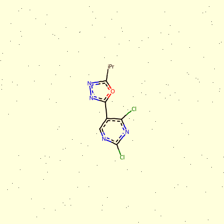 CC(C)c1nnc(-c2cnc(Cl)nc2Cl)o1